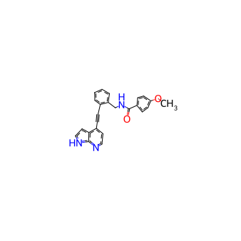 COc1ccc(C(=O)NCc2ccccc2C#Cc2ccnc3[nH]ccc23)cc1